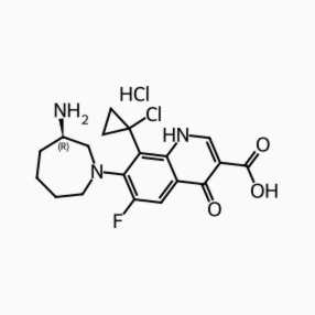 Cl.N[C@@H]1CCCCN(c2c(F)cc3c(=O)c(C(=O)O)c[nH]c3c2C2(Cl)CC2)C1